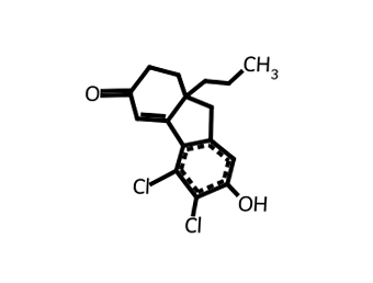 CCCC12CCC(=O)C=C1c1c(cc(O)c(Cl)c1Cl)C2